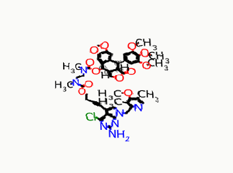 COc1cc([C@@H]2c3cc4c(cc3[C@H](OC(=O)N(C)CCN(C)C(=O)OCCC#Cc3cn(Cc5ncc(C)c(OC)c5C)c5nc(N)nc(Cl)c35)[C@H]3COC(=O)[C@@H]23)OCO4)cc(OC)c1OC